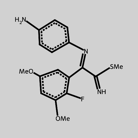 COc1cc(OC)c(F)c(/C(=N\c2ccc(N)cc2)C(=N)SC)c1